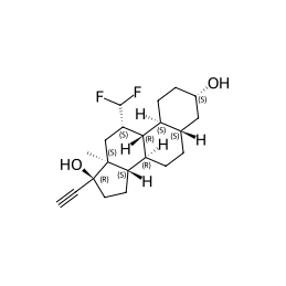 C#C[C@@]1(O)CC[C@H]2[C@@H]3CC[C@H]4C[C@@H](O)CC[C@@H]4[C@H]3[C@@H](C(F)F)C[C@@]21C